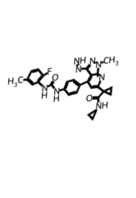 Cc1ccc(F)c(NC(=O)Nc2ccc(-c3cc(C4(C(=O)NC5CC5)CC4)nc4c3c(N=N)nn4C)cc2)c1